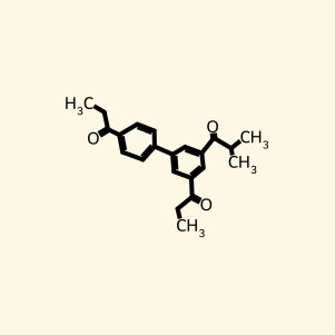 CCC(=O)c1ccc(-c2cc(C(=O)CC)cc(C(=O)C(C)C)c2)cc1